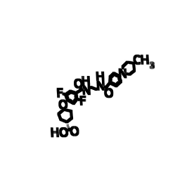 CC1CCN(c2ccc(C(=O)NCCNC(=O)c3cc(F)c(O[C@H]4CC[C@@H](C(=O)O)CC4)cc3F)cc2)CC1